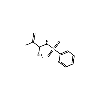 CC(=O)C(N)NS(=O)(=O)c1ccccn1